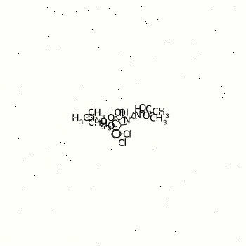 CC(C)(C)OC(=O)N1CC(N2CC(c3c(OCOCC[Si](C)(C)C)ccc(Cl)c3Cl)C(C)(C(=O)O)C2=O)C1